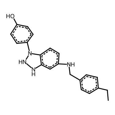 CCc1ccc(CNc2ccc3c(c2)NNN3c2ccc(O)cc2)cc1